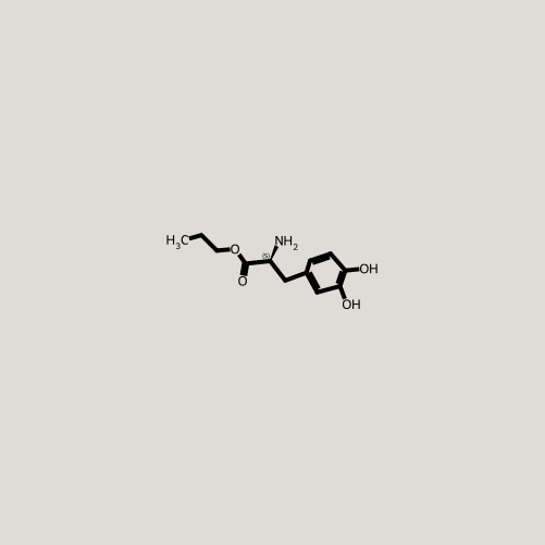 CCCOC(=O)[C@@H](N)Cc1ccc(O)c(O)c1